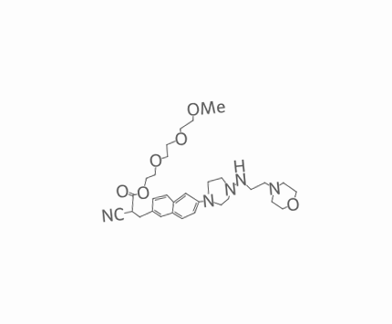 COCCOCCOCCOC(=O)C(C#N)Cc1ccc2cc(N3CCN(NCCN4CCOCC4)CC3)ccc2c1